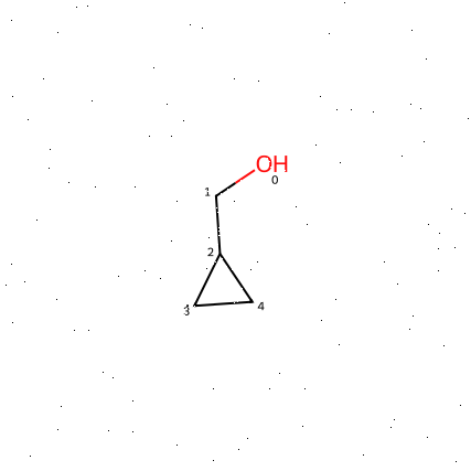 OCC1[CH]C1